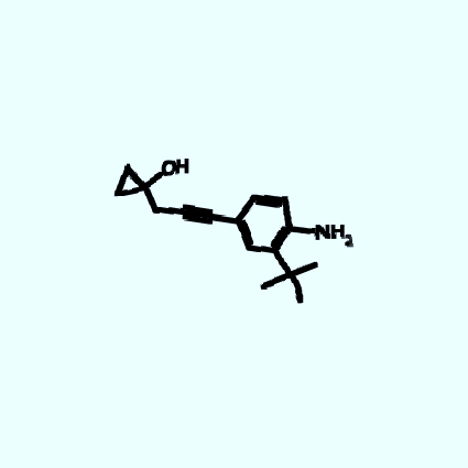 CC(C)(C)c1cc(C#CCC2(O)CC2)ccc1N